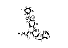 NC(=O)CN(Cc1ccc2cncnc2c1)Nc1ccc(S(=O)(=O)c2ccccc2)cc1